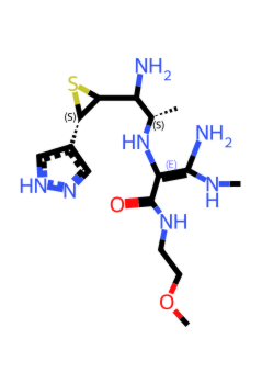 CN/C(N)=C(/N[C@@H](C)C(N)C1S[C@H]1c1cn[nH]c1)C(=O)NCCOC